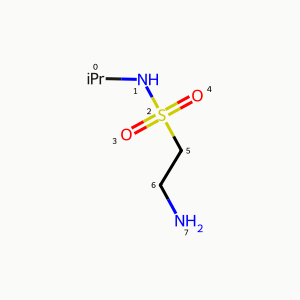 CC(C)NS(=O)(=O)CCN